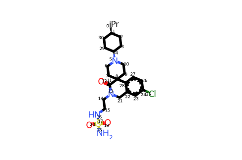 CC(C)[C@H]1CC[C@@H](N2CCC3(CC2)C(=O)N(CCNS(N)(=O)=O)Cc2cc(Cl)ccc23)CC1